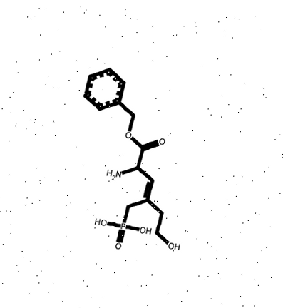 NC(/C=C(/CCO)CP(=O)(O)O)C(=O)OCc1ccccc1